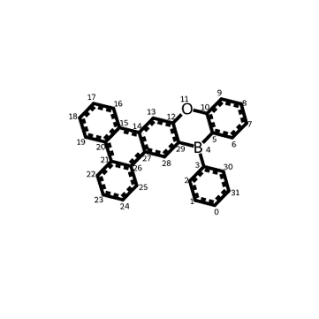 c1ccc(B2c3ccccc3Oc3cc4c5ccccc5c5ccccc5c4cc32)cc1